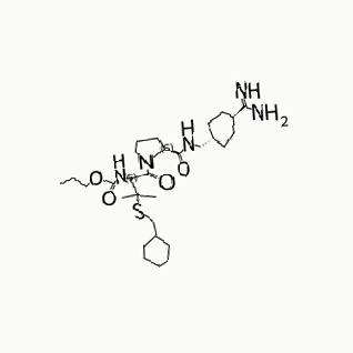 CCCOC(=O)N[C@@H](C(=O)N1CCC[C@H]1C(=O)NC[C@H]1CC[C@H](C(=N)N)CC1)C(C)(C)SCC1CCCCC1